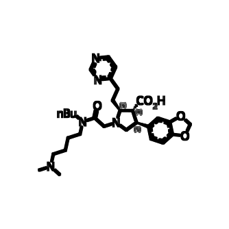 CCCCN(CCCCN(C)C)C(=O)CN1C[C@H](c2ccc3c(c2)OCO3)[C@@H](C(=O)O)[C@@H]1CCc1ccncn1